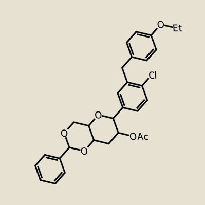 CCOc1ccc(Cc2cc(C3OC4COC(c5ccccc5)OC4CC3OC(C)=O)ccc2Cl)cc1